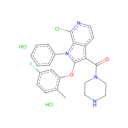 Cc1ccc(F)cc1Oc1c(C(=O)N2CCNCC2)c2ccnc(Cl)c2n1-c1ccccc1.Cl.Cl